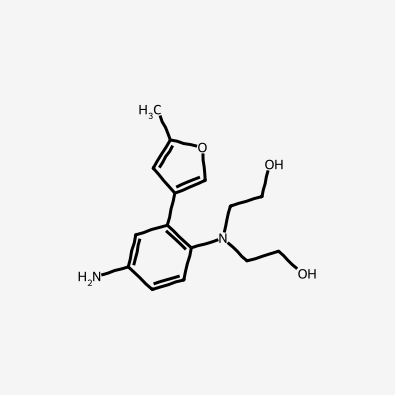 Cc1cc(-c2cc(N)ccc2N(CCO)CCO)co1